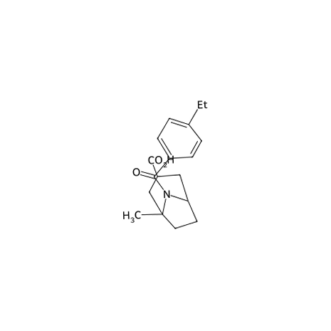 CCc1ccc(C(=O)N2C3CCC2(C)CC(C(=O)O)C3)cc1